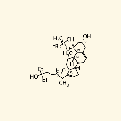 CCC(O)(CC)CCSC(C)C1=CC[C@H]2C3=CC=C4C[C@@H](O)C[C@H](O[Si](C)(C)C(C)(C)C)[C@]4(C)[C@H]3CC[C@]12C